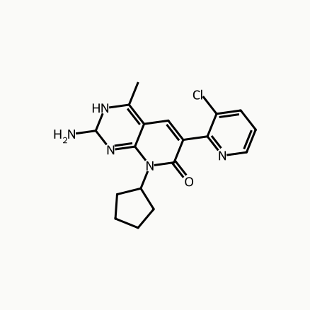 CC1=c2cc(-c3ncccc3Cl)c(=O)n(C3CCCC3)c2=NC(N)N1